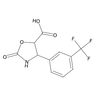 O=C1NC(c2cccc(C(F)(F)F)c2)C(C(=O)O)O1